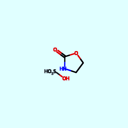 O=C1NCCO1.O=S(=O)(O)O